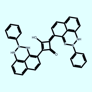 O=C1C(c2ccc3cccc4c3c2NB(c2ccccc2)N4)=C(O)/C1=c1\ccc2cccc3c2c1=NB(c1ccccc1)N3